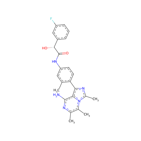 Cc1cc(NC(=O)[C@H](O)c2cccc(F)c2)ccc1-c1nc(C)n2c(C)c(C)nc(N)c12